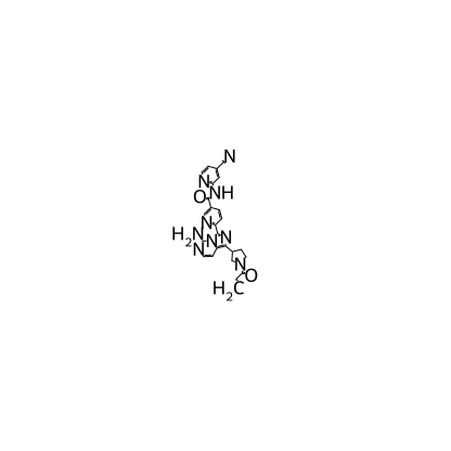 C=CC(=O)N1CCC(c2nc(-c3ccc(C(=O)Nc4cc(C#N)ccn4)cn3)n3c(N)nccc23)C1